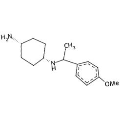 COc1ccc(C(C)N[C@H]2CC[C@@H](N)CC2)cc1